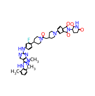 Cc1cccc(C)c1Nc1nn(C)c2nc(Nc3ccc(C4CCN(C(=O)CC5CCN(c6ccc7c(c6)C(=O)N(C6CCC(=O)NC6=O)C7=O)CC5)CC4)c(F)c3)ncc12